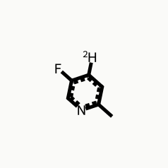 [2H]c1cc(C)ncc1F